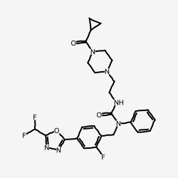 O=C(C1CC1)N1CCN(CCNC(=O)N(Cc2ccc(-c3nnc(C(F)F)o3)cc2F)c2ccccc2)CC1